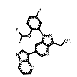 OCc1nn(-c2cc(Cl)ccc2OC(F)F)c2cc(-c3cnn4cccnc34)cnc12